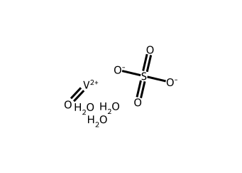 O.O.O.O=S(=O)([O-])[O-].[O]=[V+2]